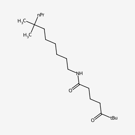 CCCC(C)(C)CCCCCCNC(=O)CCCC(=O)C(C)(C)C